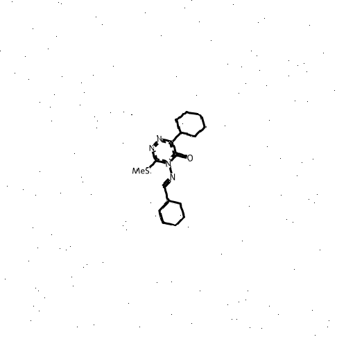 CSc1nnc(C2CCCCC2)c(=O)n1N=CC1CCCCC1